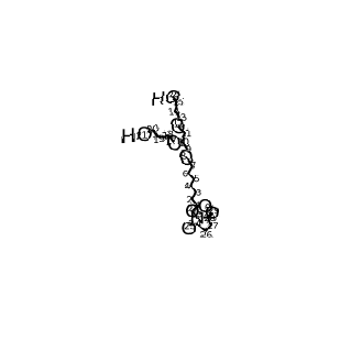 O=C(CCCCCCOCC(COCCCO)OCCCO)ON1C(=O)CCC1=O